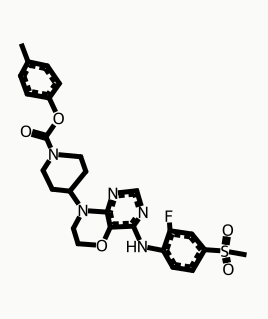 Cc1ccc(OC(=O)N2CCC(N3CCOc4c(Nc5ccc(S(C)(=O)=O)cc5F)ncnc43)CC2)cc1